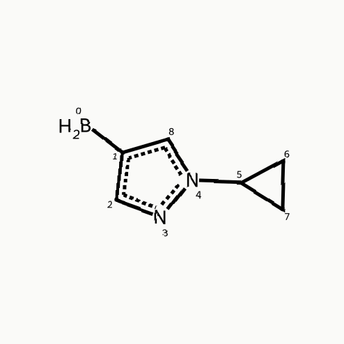 Bc1cnn(C2CC2)c1